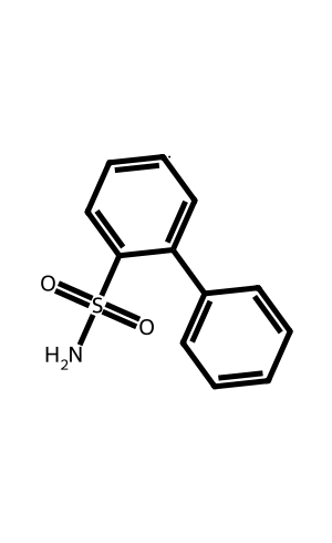 NS(=O)(=O)c1cc[c]cc1-c1ccccc1